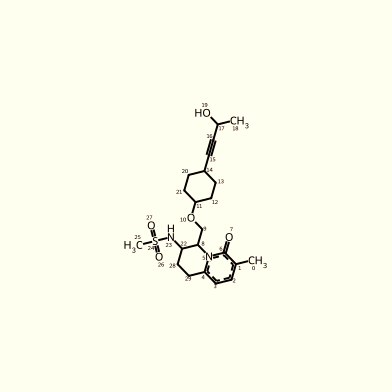 Cc1ccc2n(c1=O)C(COC1CCC(C#CC(C)O)CC1)C(NS(C)(=O)=O)CC2